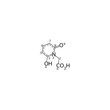 O=C(O)Cn1c(O)cccc1=O